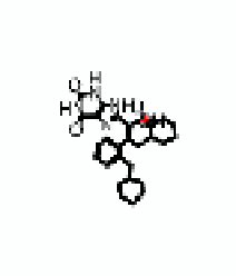 O=C(O)C(=C(CC1CCCCC1)c1ccccc1CC1CCCCC1)c1nc2c(=O)[nH]c(=O)[nH]c2[nH]1